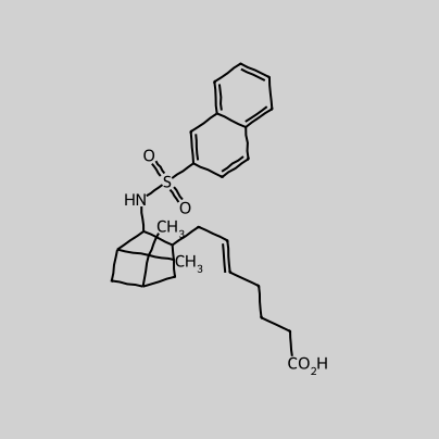 CC1(C)C2CC(C/C=C/CCCC(=O)O)C(NS(=O)(=O)c3ccc4ccccc4c3)C1C2